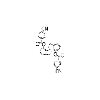 N#Cc1ccc(C(=O)Oc2cccc3c2C2(CC3)CCc3cccc(OC(=O)c4ccc(C#N)cc4)c32)cc1